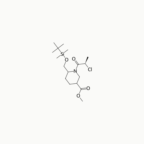 COC(=O)C1CCC(CO[Si](C)(C)C(C)(C)C)N(C(=O)[C@@H](C)Cl)C1